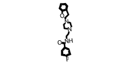 O=C(NCCN1CCN(C2Cc3ccccc3O2)CC1)c1ccc(F)cc1